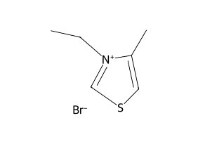 CC[n+]1cscc1C.[Br-]